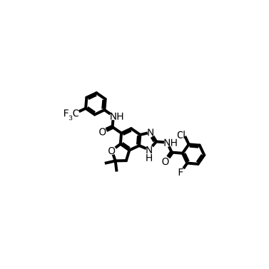 CC1(C)Cc2c(c(C(=O)Nc3cccc(C(F)(F)F)c3)cc3nc(NC(=O)c4c(F)cccc4Cl)[nH]c23)O1